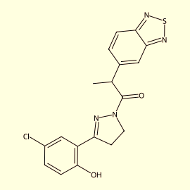 CC(C(=O)N1CCC(c2cc(Cl)ccc2O)=N1)c1ccc2nsnc2c1